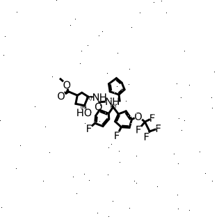 COC(=O)C1C[C@@H](O)[C@H](NC(=O)N[C@](Cc2ccccc2)(c2ccc(F)cc2)c2cc(F)cc(OC(F)(F)C(F)F)c2)C1